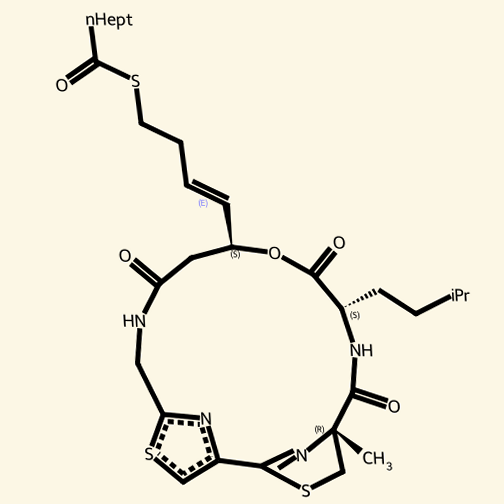 CCCCCCCC(=O)SCC/C=C/[C@@H]1CC(=O)NCc2nc(cs2)C2=N[C@@](C)(CS2)C(=O)N[C@@H](CCC(C)C)C(=O)O1